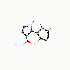 Cc1c(F)ccc(F)c1-c1c(C(N)=O)ccn1C